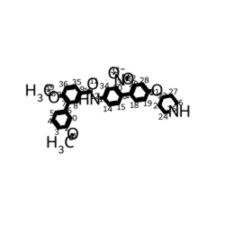 COc1cccc(-c2cc(C(=O)Nc3ccc(-c4ccc(OC5CCNCC5)cc4)c([N+](=O)[O-])c3)ccc2OC)c1